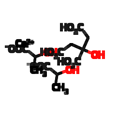 CC(O)C(=O)[O-].CC(O)C(=O)[O-].O=C(O)CC(O)(CC(=O)O)C(=O)O.[Ca+2]